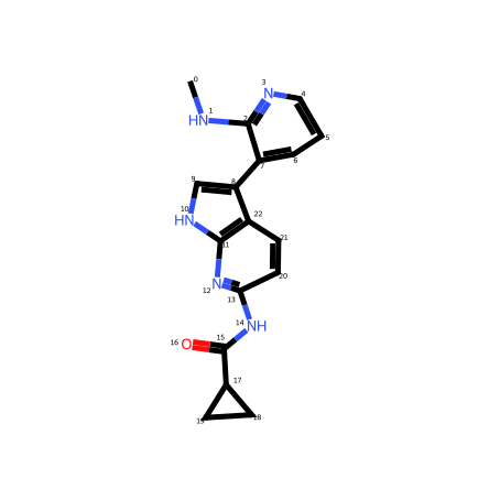 CNc1ncccc1-c1c[nH]c2nc(NC(=O)C3CC3)ccc12